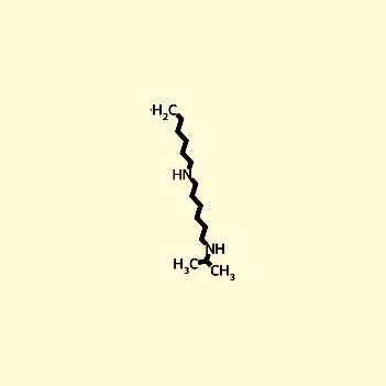 [CH2]CCCCCNCCCCCCNC(C)C